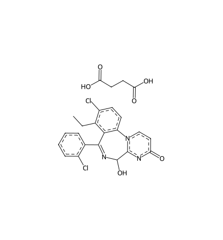 CCc1c(Cl)ccc2c1C(c1ccccc1Cl)=NC(O)c1nc(=O)ccn1-2.O=C(O)CCC(=O)O